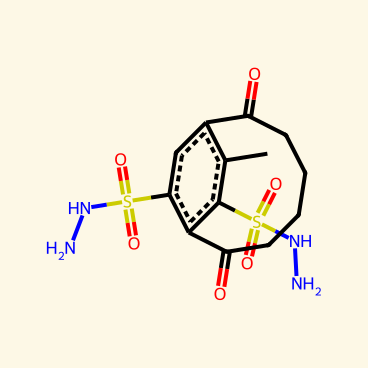 Cc1c2cc(S(=O)(=O)NN)c(c1S(=O)(=O)NN)C(=O)CCCCC2=O